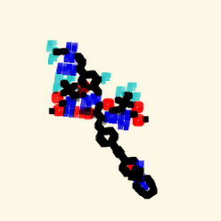 COC(=O)N[C@H](C(=O)N[C@@H](Cc1ccc(C#Cc2ccc(N3CC4CCC(C3)N4C3COC3)nc2)cc1)[C@@H](O)CN(Cc1c(F)cc(C(=N)/C=C\NCC(F)F)cc1F)NC(=O)[C@@H](NC(=O)OC)C(C)(C)C(F)(F)F)C(C)(C)C(F)(F)F